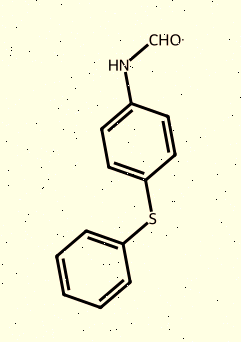 O=[C]Nc1ccc(Sc2ccccc2)cc1